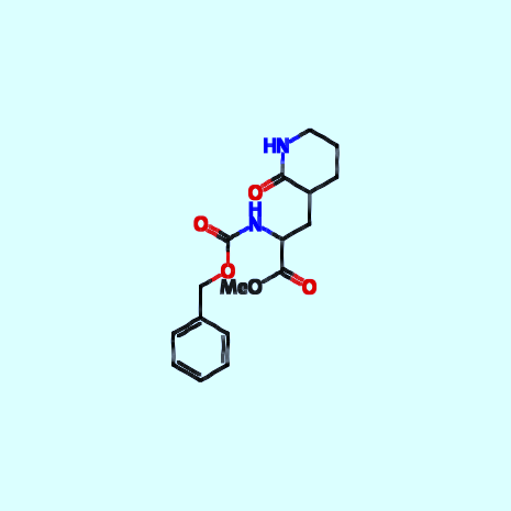 COC(=O)C(CC1CCCNC1=O)NC(=O)OCc1ccccc1